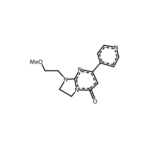 COCCN1CCn2c1nc(-c1ccncc1)cc2=O